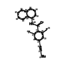 CC(C)(C)C#Cc1cc(F)c(C(=O)Nc2cccc3ccccc23)c(F)c1